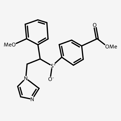 COC(=O)c1ccc([S+]([O-])C(Cn2ccnc2)c2ccccc2OC)cc1